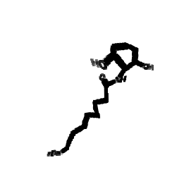 CCCCCCCCCCCCCCCCCC(=O)Nc1c(O)cccc1O